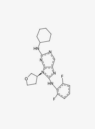 Fc1cccc(F)c1Nc1nc2cnc(NC3CCCCC3)nc2n1[C@H]1CCOC1